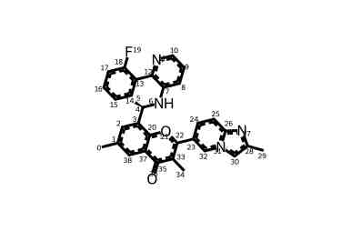 Cc1cc([C@@H](C)Nc2cccnc2-c2ccccc2F)c2oc(-c3ccc4nc(C)cn4c3)c(C)c(=O)c2c1